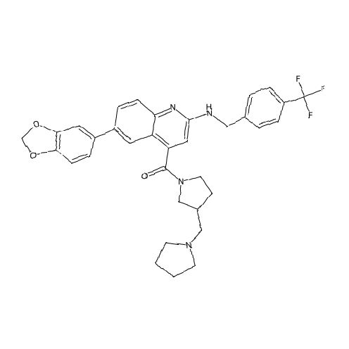 O=C(c1cc(NCc2ccc(C(F)(F)F)cc2)nc2ccc(-c3ccc4c(c3)OCO4)cc12)N1CCC(CN2CCCC2)C1